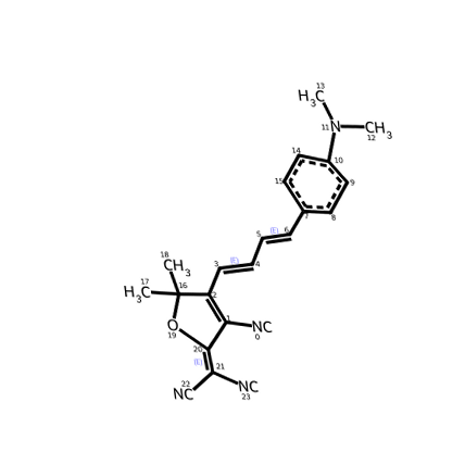 [C-]#[N+]C1=C(/C=C/C=C/c2ccc(N(C)C)cc2)C(C)(C)O/C1=C(\C#N)[N+]#[C-]